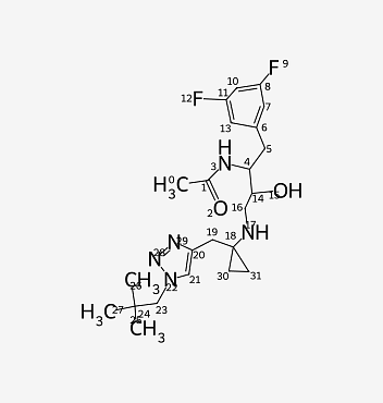 CC(=O)NC(Cc1cc(F)cc(F)c1)C(O)CNC1(Cc2cn(CC(C)(C)C)nn2)CC1